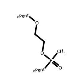 CCCCCOCCOP(C)(=O)CCCCC